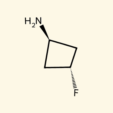 N[C@H]1C[C@H](F)C1